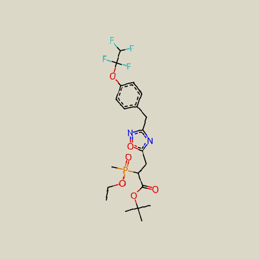 CCOP(C)(=O)C(Cc1nc(Cc2ccc(OC(F)(F)C(F)F)cc2)no1)C(=O)OC(C)(C)C